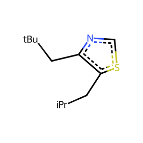 CC(C)Cc1scnc1CC(C)(C)C